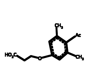 CC(=O)c1c(C)cc(OCCC(=O)O)cc1C